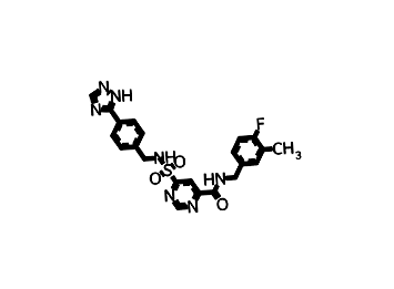 Cc1cc(CNC(=O)c2cc(S(=O)(=O)NCc3ccc(-c4ncn[nH]4)cc3)ncn2)ccc1F